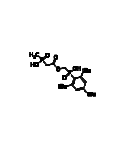 CC(C)(C)c1cc(C(C)(C)C)c(P(=O)(O)COC(=O)CP(C)(=O)O)c(C(C)(C)C)c1